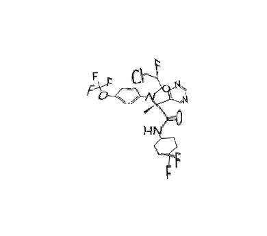 C[C@](C(=O)NC1CCC(F)(F)CC1)(c1cncnc1)N(C(=O)[C@H](F)Cl)c1ccc(OC(F)(F)F)cc1